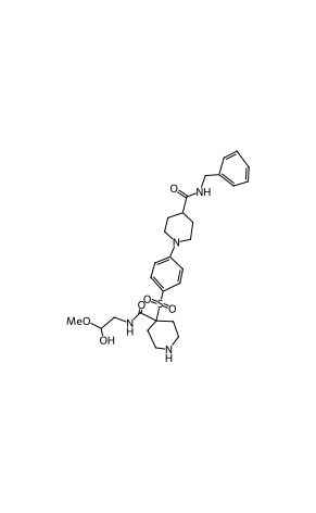 COC(O)CNC(=O)C1(S(=O)(=O)c2ccc(N3CCC(C(=O)NCc4ccccc4)CC3)cc2)CCNCC1